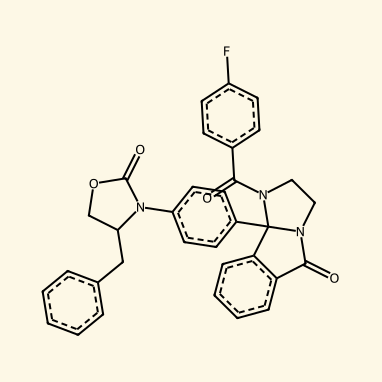 O=C1OCC(Cc2ccccc2)N1c1ccc(C23c4ccccc4C(=O)N2CCN3C(=O)c2ccc(F)cc2)cc1